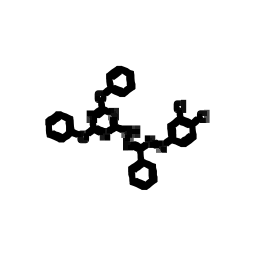 Clc1ccc(/N=N/C(=N\Nc2nc(Oc3ccccc3)nc(Oc3ccccc3)n2)c2ccccc2)cc1Cl